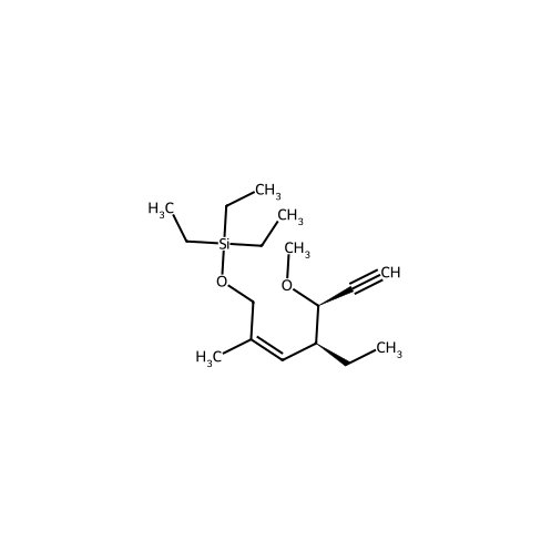 C#C[C@H](OC)[C@H](/C=C(/C)CO[Si](CC)(CC)CC)CC